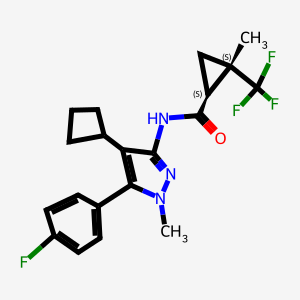 Cn1nc(NC(=O)[C@H]2C[C@]2(C)C(F)(F)F)c(C2CCC2)c1-c1ccc(F)cc1